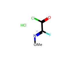 CO/N=C(\F)C(=O)Cl.Cl